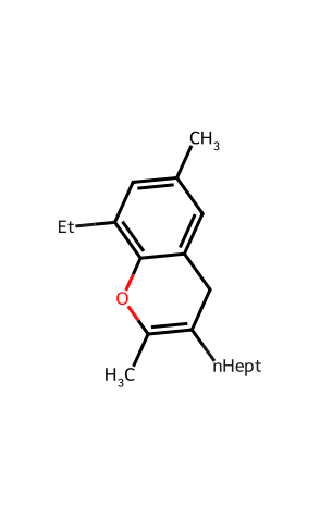 CCCCCCCC1=C(C)Oc2c(CC)cc(C)cc2C1